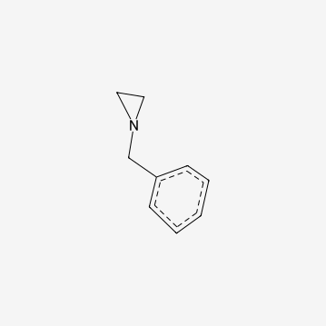 c1ccc(CN2CC2)cc1